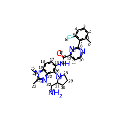 Cc1cccc(F)c1-c1nccc(C(=O)Nc2ccc3c(nc(C)n3C)c2N2CCCC2CN)n1